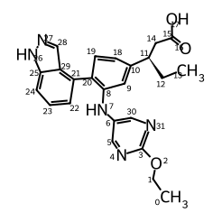 CCOc1ncc(Nc2cc([C@H](CC)CC(=O)O)ccc2-c2cccc3[nH]ncc23)cn1